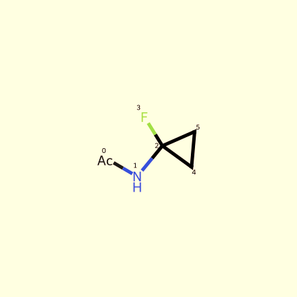 CC(=O)NC1(F)CC1